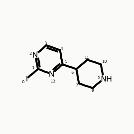 Ic1nccc(C2CCNCC2)n1